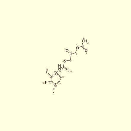 CC(=O)OCC(=O)CSC(=S)Nc1ccc(F)c(F)c1F